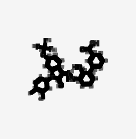 Cc1ccc(N2C(=O)C(=NNc3cccc(-c4cccc(C(=O)O)c4)c3O)c3ccc(OC(F)(F)F)cc32)cc1C